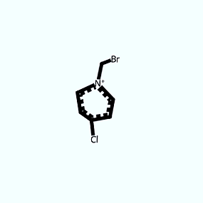 Clc1cc[n+](CBr)cc1